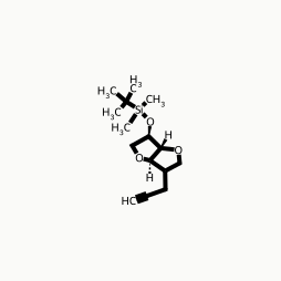 C#CCC1CO[C@@H]2[C@@H]1OC[C@H]2O[Si](C)(C)C(C)(C)C